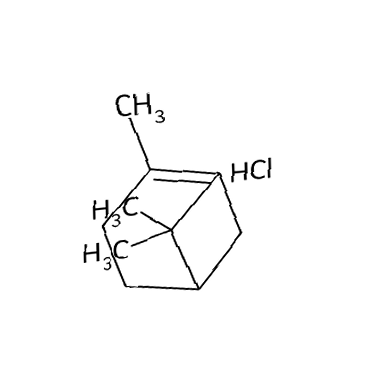 CC1=C2CC(CC1)C2(C)C.Cl